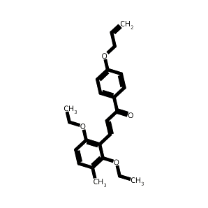 C=CCOc1ccc(C(=O)/C=C/c2c(OCC)ccc(C)c2OCC)cc1